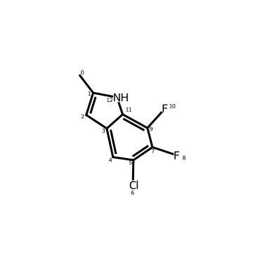 Cc1cc2cc(Cl)c(F)c(F)c2[nH]1